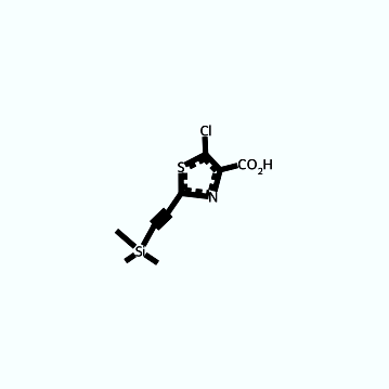 C[Si](C)(C)C#Cc1nc(C(=O)O)c(Cl)s1